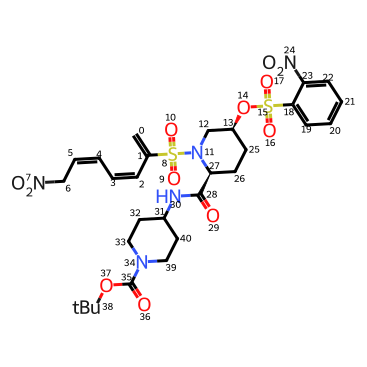 C=C(/C=C\C=C/C[N+](=O)[O-])S(=O)(=O)N1C[C@@H](OS(=O)(=O)c2ccccc2[N+](=O)[O-])CC[C@H]1C(=O)NC1CCN(C(=O)OC(C)(C)C)CC1